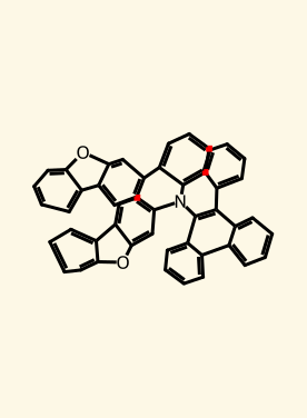 c1ccc(-c2c(N(c3ccc4c(c3)oc3ccccc34)c3ccccc3-c3ccc4c(c3)oc3ccccc34)c3ccccc3c3ccccc23)cc1